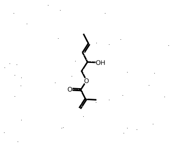 C=C(C)C(=O)OCC(O)C=CC